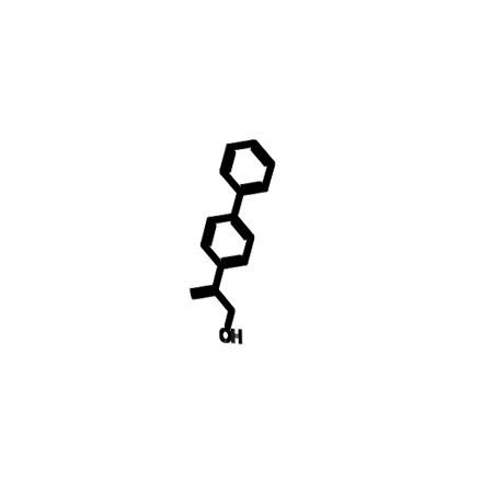 C=C(CO)c1ccc(-c2ccccc2)cc1